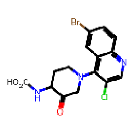 O=C(O)NC1CCN(c2c(Cl)cnc3ccc(Br)cc23)CC1=O